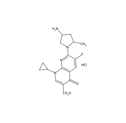 CC1CC(N)CN1c1nc2c(cc1F)c(=O)c(C(=O)O)cn2C1CC1.Cl